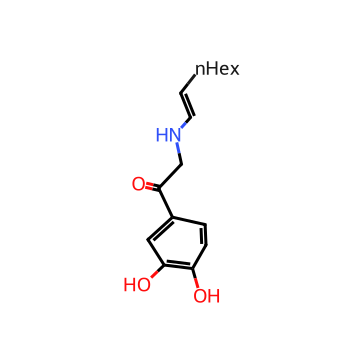 CCCCCCC=CNCC(=O)c1ccc(O)c(O)c1